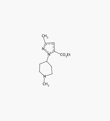 CCOC(=O)c1cc(C)nn1C1CCN(C)CC1